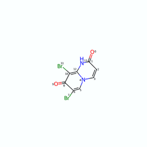 O=c1ccn2cc(Br)c(=O)c(Br)c2[nH]1